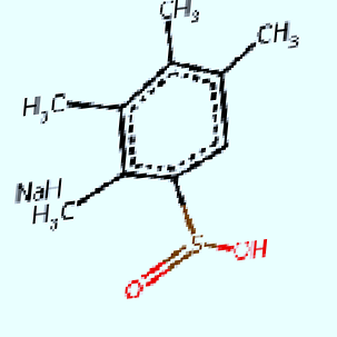 Cc1cc(S(=O)O)c(C)c(C)c1C.[NaH]